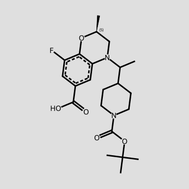 CC(C1CCN(C(=O)OC(C)(C)C)CC1)N1C[C@H](C)Oc2c(F)cc(C(=O)O)cc21